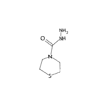 NNC(=O)N1CCSCC1